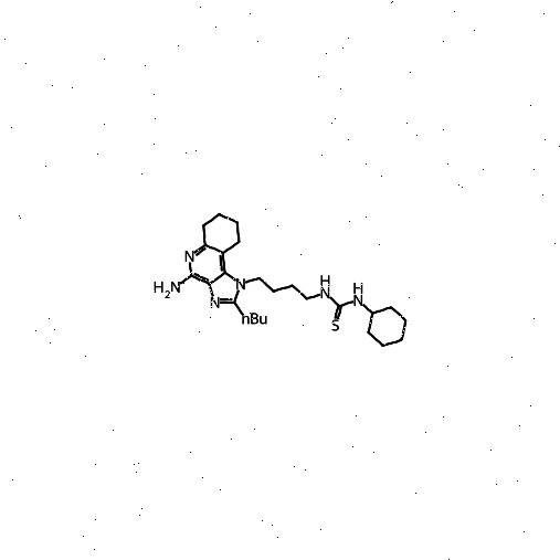 CCCCc1nc2c(N)nc3c(c2n1CCCCNC(=S)NC1CCCCC1)CCCC3